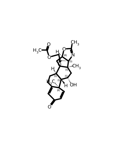 CC(=O)OCC(=O)[C@@]12N=C(C)O[C@@H]1CC1[C@@H]3CCC4=CC(=O)C=C[C@]4(C)[C@H]3[C@@H](O)C[C@@]12C